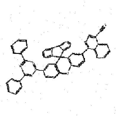 N#Cc1ccc(-c2ccc3c(c2)C2(c4cc(-c5nc(-c6ccccc6)nc(-c6ccccc6)n5)ccc4O3)c3ccccc3-c3ccccc32)c2ccccc12